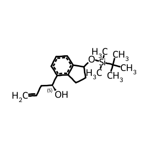 C=CC[C@H](O)c1cccc2c1CCC2O[Si](C)(C)C(C)(C)C